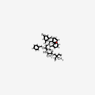 C[C@@H]1N[C@@H]([C@@H](OCc2ccccc2)[C@H](Cc2cc(F)cc(F)c2)N(Cc2ccccc2)Cc2ccccc2)CO[C@H]1OCC(C)(CF)CF